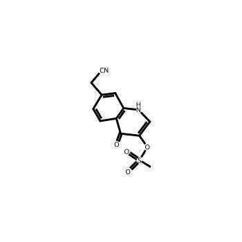 CS(=O)(=O)Oc1c[nH]c2cc(CC#N)ccc2c1=O